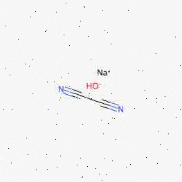 N#CC#N.[Na+].[OH-]